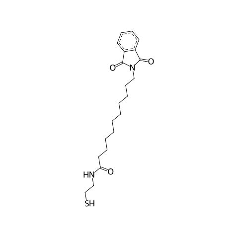 O=C(CCCCCCCCCCN1C(=O)c2ccccc2C1=O)NCCS